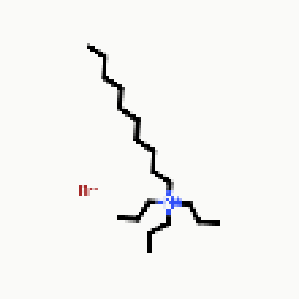 CCCCCCCCCC[N+](CCC)(CCC)CCC.[Br-]